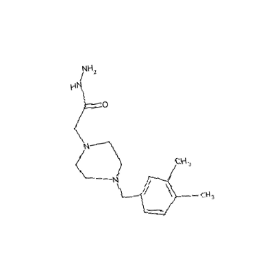 Cc1ccc(CN2CCN(CC(=O)NN)CC2)cc1C